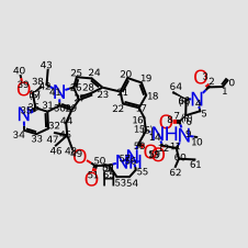 C=CC(=O)N1C[C@@H](C(=O)N(C)C(C(=O)N[C@H]2Cc3cccc(c3)-c3ccc4c(c3)c(c(-c3cccnc3[C@H](C)OC)n4CC)CC(C)(C)COC(=O)[C@@H]3CCCN(N3)C2=O)C(C)C)[C@H]1C